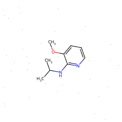 COc1cccnc1NC(C)C